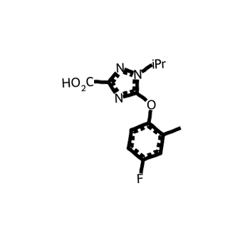 Cc1cc(F)ccc1Oc1nc(C(=O)O)nn1C(C)C